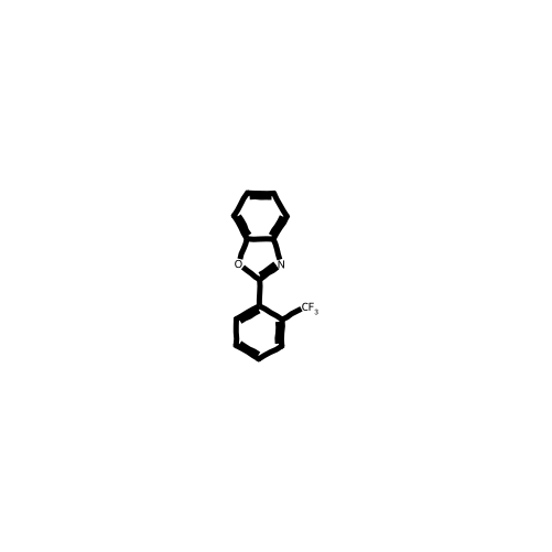 FC(F)(F)c1ccccc1-c1nc2ccccc2o1